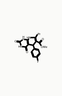 COC(=O)C1=C(C(C)C)Nc2[nH]c(=O)[nH]c(=O)c2C1c1ccc(F)cc1